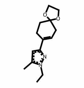 CCn1nc(C2=CCC3(CC2)OCCO3)cc1C